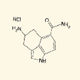 Cl.NC(=O)c1ccc2[nH]cc3c2c1CC(N)C3